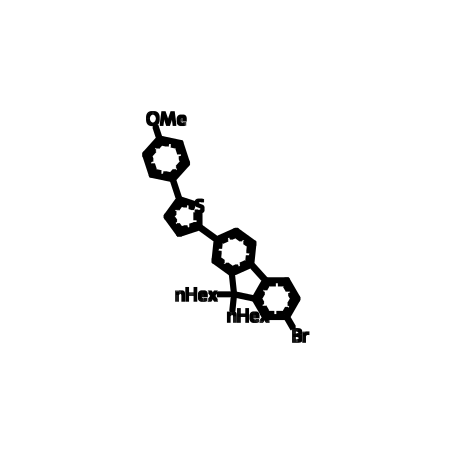 CCCCCCC1(CCCCCC)c2cc(Br)ccc2-c2ccc(-c3ccc(-c4ccc(OC)cc4)s3)cc21